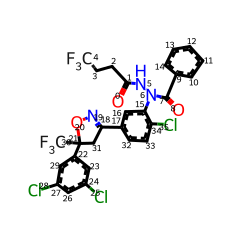 O=C(CCC(F)(F)F)NN(C(=O)c1ccccc1)c1cc(C2=NOC(c3cc(Cl)cc(Cl)c3)(C(F)(F)F)C2)ccc1Cl